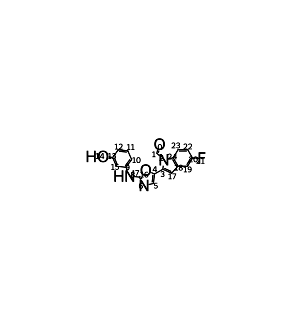 O=Cn1c(-c2cnc(Nc3cccc(O)c3)o2)cc2cc(F)ccc21